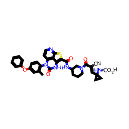 Cc1cc(Oc2ccccc2)ccc1N1C(=O)Nc2c(C(=O)NC3CCCN(C(=O)C(C#N)=CC4(NC(=O)O)CC4)C3)sc3nccc1c23